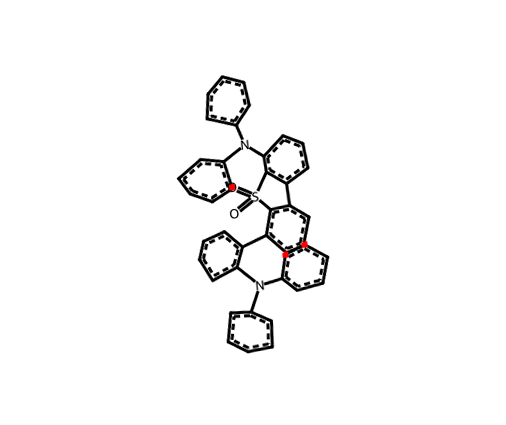 O=S1(=O)c2c(-c3ccccc3N(c3ccccc3)c3ccccc3)cccc2-c2cccc(N(c3ccccc3)c3ccccc3)c21